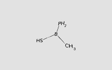 CB(P)S